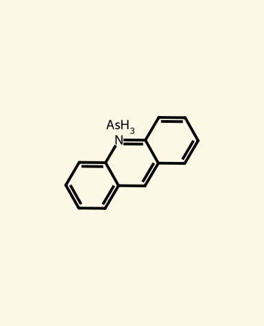 [AsH3].c1ccc2nc3ccccc3cc2c1